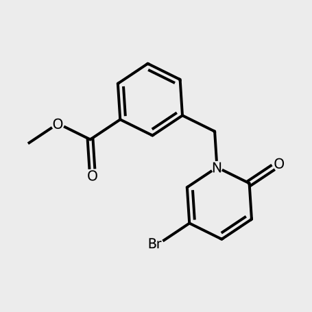 COC(=O)c1cccc(Cn2cc(Br)ccc2=O)c1